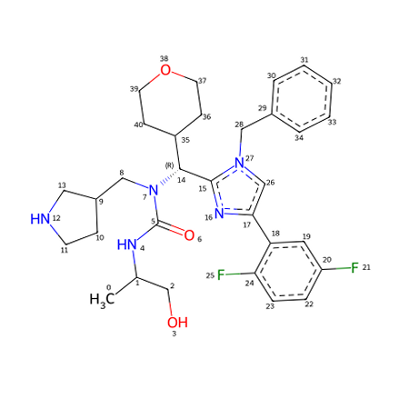 CC(CO)NC(=O)N(CC1CCNC1)[C@@H](c1nc(-c2cc(F)ccc2F)cn1Cc1ccccc1)C1CCOCC1